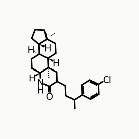 CC(CCC1C[C@@]2(C)[C@@H](CC[C@H]3[C@@H]4CCC[C@@]4(C)CC[C@@H]32)NC1=O)c1ccc(Cl)cc1